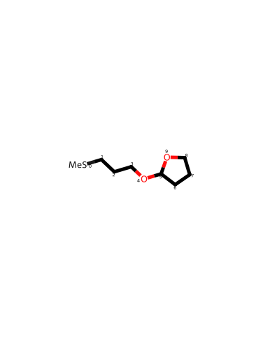 CSCCCOC1CCCO1